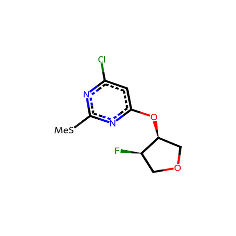 CSc1nc(Cl)cc(O[C@H]2COC[C@H]2F)n1